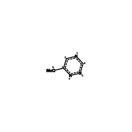 COc1cncnn1